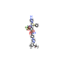 CCC12CC(C3=C(CN4CCN(c5ccc(C(=O)NS(=O)(=O)c6ccc(N[C@H](CCN7CCNCC7)CSc7ccccc7)c(S(=O)(=O)C(F)(F)F)c6)cc5)CC4)CCC(C)(C)C3)(C1)C2